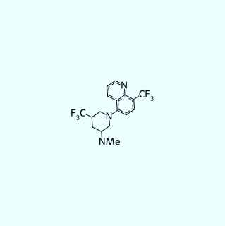 CNC1CC(C(F)(F)F)CN(c2ccc(C(F)(F)F)c3ncccc23)C1